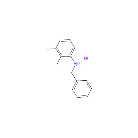 Cc1cccc(NCc2ccccc2)c1C.I